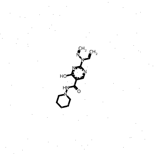 C=CN(N=C)c1ncc(C(=O)NN2CCCCC2)c(O)n1